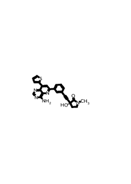 CN1CC[C@@](O)(C#Cc2cccc(-c3cc(-c4cccs4)c4ncnc(N)c4n3)c2)C1=O